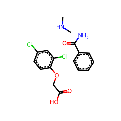 CNC.NC(=O)c1ccccc1.O=C(O)COc1ccc(Cl)cc1Cl